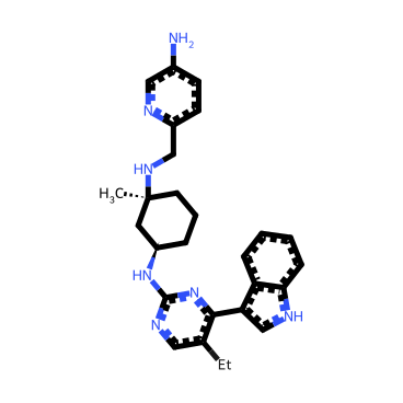 CCc1cnc(N[C@@H]2CCC[C@](C)(NCc3ccc(N)cn3)C2)nc1-c1c[nH]c2ccccc12